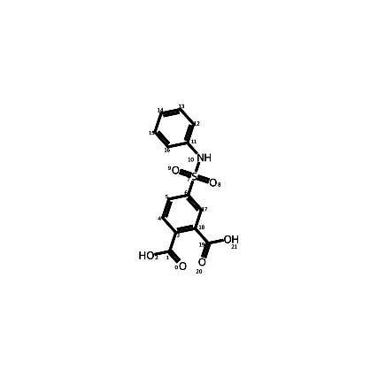 O=C(O)c1ccc(S(=O)(=O)Nc2ccccc2)cc1C(=O)O